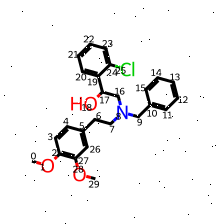 COc1ccc(CCN(Cc2ccccc2)CC(O)c2ccccc2Cl)cc1OC